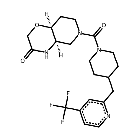 O=C1CO[C@H]2CCN(C(=O)N3CCC(Cc4cc(C(F)(F)F)ccn4)CC3)C[C@H]2N1